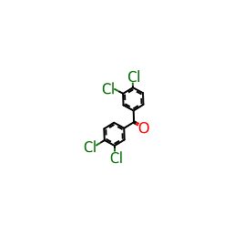 O=C(c1ccc(Cl)c(Cl)c1)c1ccc(Cl)c(Cl)c1